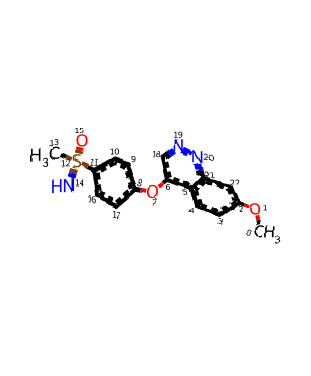 COc1ccc2c(Oc3ccc(S(C)(=N)=O)cc3)cnnc2c1